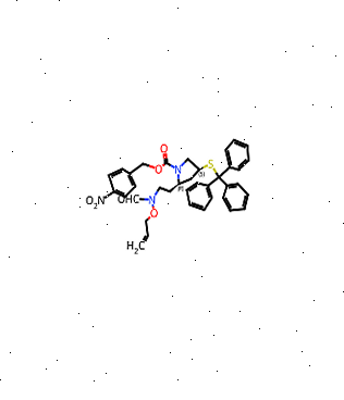 C=CCON(C=O)CC[C@@H]1C[C@H](SC(c2ccccc2)(c2ccccc2)c2ccccc2)CN1C(=O)OCc1ccc([N+](=O)[O-])cc1